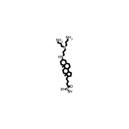 CC(C)N(C(=O)CCCC1CCC2C3CCC4CC(NCCCN(CCCN)CCCN)CCC4(C)C3CCC12C)C(C)C